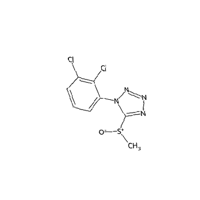 C[S+]([O-])c1nnnn1-c1cccc(Cl)c1Cl